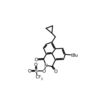 CC(C)(C)c1cc2c3c(ccc(CC4CC4)c3c1)C(=O)N(OS(=O)(=O)C(F)(F)F)C2=O